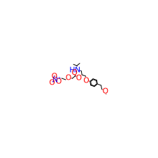 COCCc1ccc(OCC(CNC(C)C)OC(=O)COCCO[N+](=O)[O-])cc1